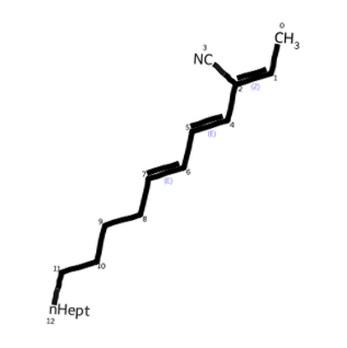 C/C=C(C#N)/C=C/C=C/CCCCCCCCCCC